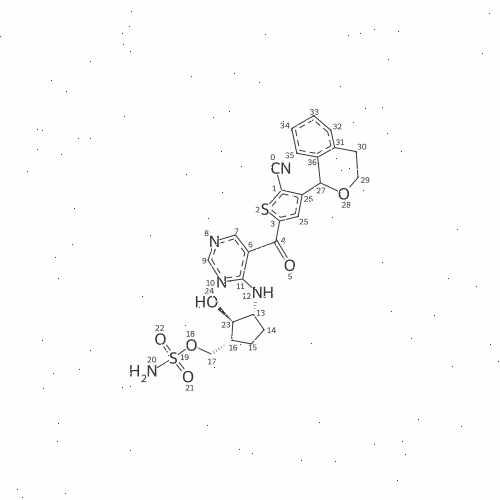 N#Cc1sc(C(=O)c2cncnc2N[C@@H]2CC[C@H](COS(N)(=O)=O)[C@H]2O)cc1C1OCCc2ccccc21